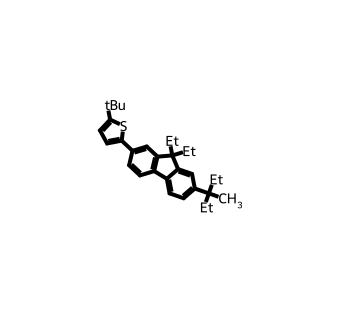 CCC(C)(CC)c1ccc2c(c1)C(CC)(CC)c1cc(-c3ccc(C(C)(C)C)s3)ccc1-2